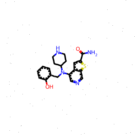 NC(=O)c1cc2c(N(Cc3ccccc3O)C3CCNCC3)cncc2s1